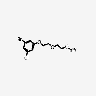 CCCOCCOCCOc1cc(Cl)cc(Br)c1